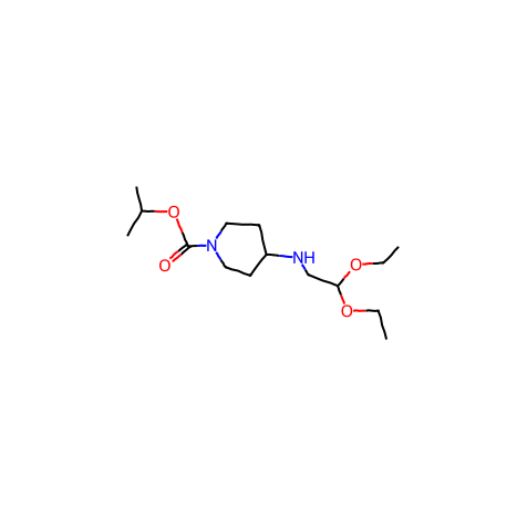 CCOC(CNC1CCN(C(=O)OC(C)C)CC1)OCC